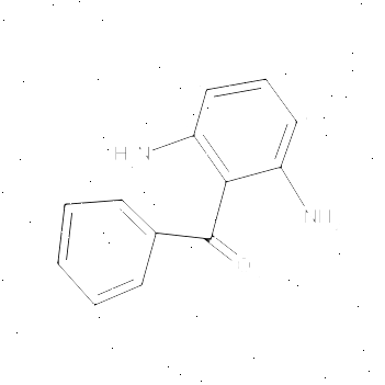 Nc1cccc(N)c1C(=O)c1ccccc1